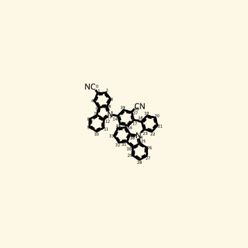 N#Cc1ccc2c(c1)c1ccccc1n2-c1ccc(-c2ccccc2-n2c3ccccc3c3ccccc32)c(C#N)c1